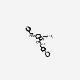 CCCn1nc(C(=O)NCc2ccc(N3CCCCC3)cc2)c2c1CCC(NCCc1ccncc1)C2